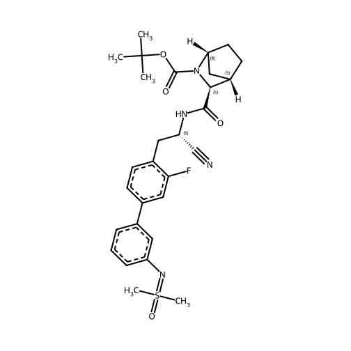 CC(C)(C)OC(=O)N1[C@@H]2CC[C@@H](C2)[C@H]1C(=O)N[C@H](C#N)Cc1ccc(-c2cccc(N=S(C)(C)=O)c2)cc1F